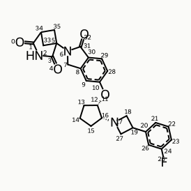 O=C1NC(=O)C2(N3Cc4cc(O[C@H]5CCC[C@H]5N5CC(c6cccc(F)c6)C5)ccc4C3=O)CC1C2